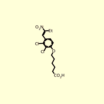 CC/C(=C\c1ccc(OCCCCCC(=O)O)c(Cl)c1Cl)[N+](=O)[O-]